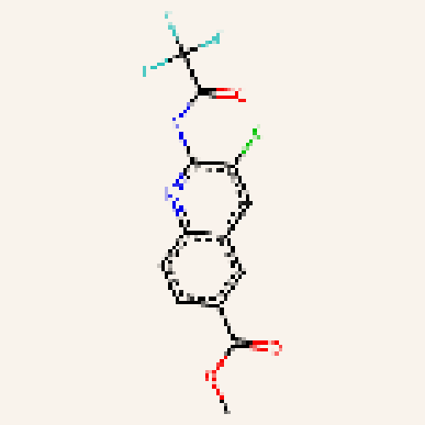 COC(=O)c1ccc2nc(NC(=O)C(F)(F)F)c(Cl)cc2c1